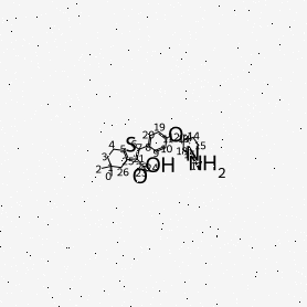 CC1(C)CCc2sc(-c3ccc(O[C@@H]4CCN(N)C4)cc3)c(C(=O)O)c2C1